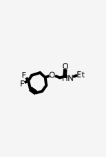 CCNC(=O)COC1CCC#CC(F)(F)CC1